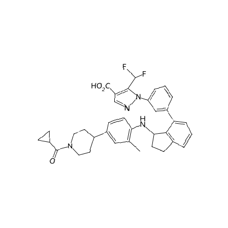 Cc1cc(C2CCN(C(=O)C3CC3)CC2)ccc1NC1CCc2cccc(-c3cccc(-n4ncc(C(=O)O)c4C(F)F)c3)c21